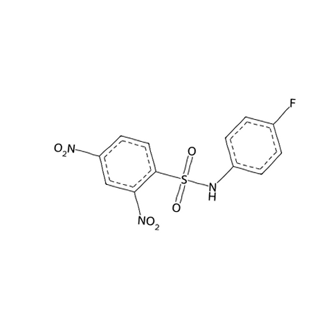 O=[N+]([O-])c1ccc(S(=O)(=O)Nc2ccc(F)cc2)c([N+](=O)[O-])c1